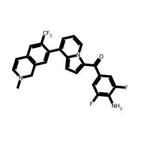 CN1C=Cc2cc(C(F)(F)F)c(-c3cccn4c(C(=O)c5cc(F)c(N)c(F)c5)ccc34)cc2C1